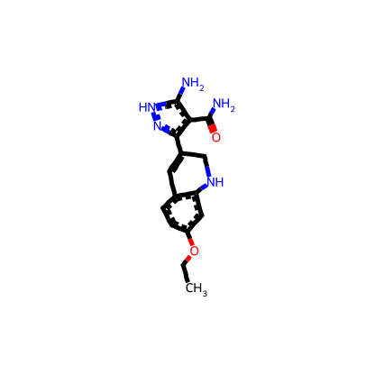 CCOc1ccc2c(c1)NCC(c1n[nH]c(N)c1C(N)=O)=C2